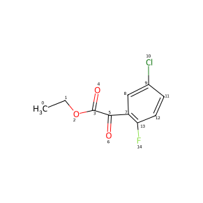 CCOC(=O)C(=O)c1cc(Cl)ccc1F